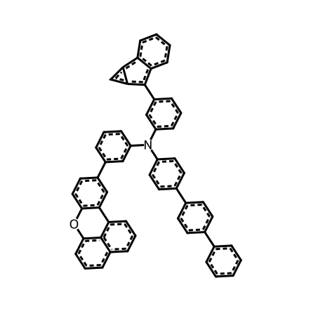 c1ccc(-c2ccc(-c3ccc(N(c4cccc(-c5ccc6c(c5)-c5cccc7cccc(c57)O6)c4)c4cccc(-c5c6cc-6c6ccccc56)c4)cc3)cc2)cc1